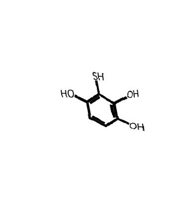 Oc1ccc(O)c(S)c1O